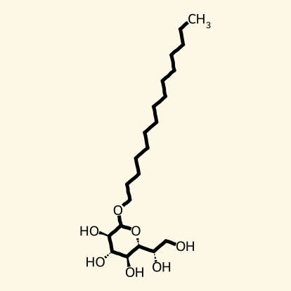 CCCCCCCCCCCCCCCOC1O[C@H]([C@@H](O)CO)[C@@H](O)[C@H](O)[C@H]1O